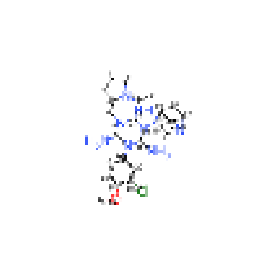 CCN1CCCC1CN1C(N)N(c2ccc(OC)c(Cl)c2)C(N)N(C2CN3CCC2CC3)C1N